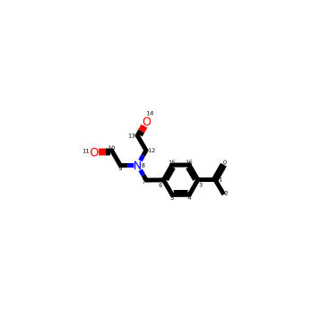 C=C(C)c1ccc(CN(CC=O)CC=O)cc1